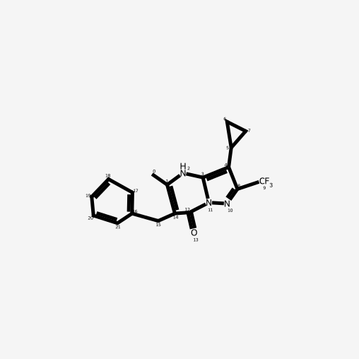 Cc1[nH]c2c(C3CC3)c(C(F)(F)F)nn2c(=O)c1Cc1ccccc1